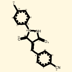 N#Cc1ccc(/C=C2\C(=O)NN(c3ccc(I)cc3)C2=O)cc1